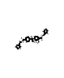 O=C(O)CC(C(=O)O)(c1ccc(C(=O)OCc2ccccc2)cc1)c1ccc(C(=O)OCc2ccccc2)cc1